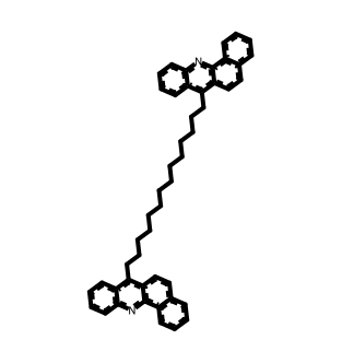 c1ccc2c(c1)ccc1c(CCCCCCCCCCCCCCc3c4ccccc4nc4c3ccc3ccccc34)c3ccccc3nc12